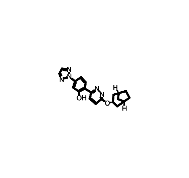 Oc1cc(-n2nccn2)ccc1-c1ccc(O[C@H]2C[C@@H]3CC[C@@H](C3)C2)nn1